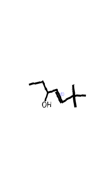 CCC(O)/C=C/C(C)(C)C